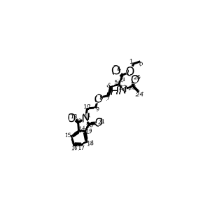 CCOC(=O)C(/C=C/OCCN1C(=O)c2ccccc2C1=O)NC(C)=O